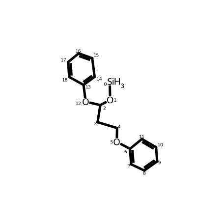 [SiH3]OC(CCOc1ccccc1)Oc1ccccc1